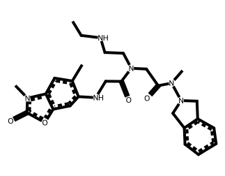 CCNCCN(CC(=O)N(C)N1Cc2ccccc2C1)C(=O)CNc1cc2oc(=O)n(C)c2cc1C